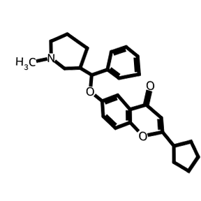 CN1CCCC(C(Oc2ccc3oc(C4CCCC4)cc(=O)c3c2)c2ccccc2)C1